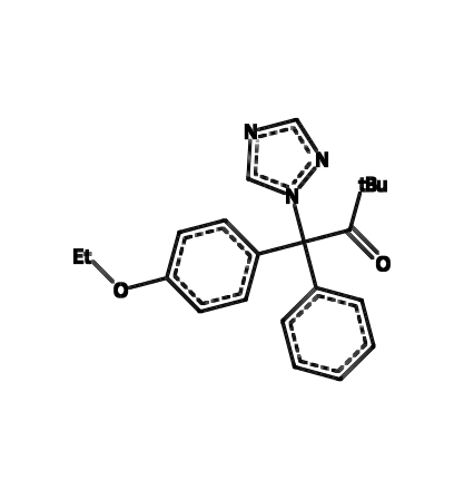 CCOc1ccc(C(C(=O)C(C)(C)C)(c2ccccc2)n2cncn2)cc1